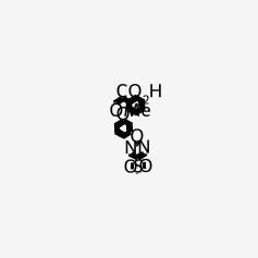 CO/C=C(/C(=O)O)c1ccccc1Oc1cccc(Oc2ncc(S(C)(=O)=O)cn2)c1